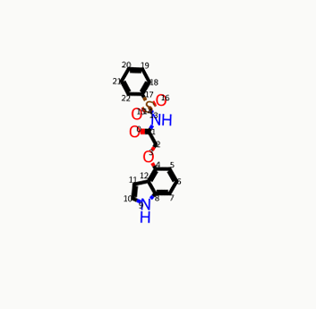 O=C(COc1cccc2[nH]ccc12)NS(=O)(=O)c1ccccc1